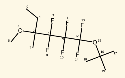 CCC(C)(OC)C(F)(F)C(F)(F)C(F)(F)OC(C)(C)C